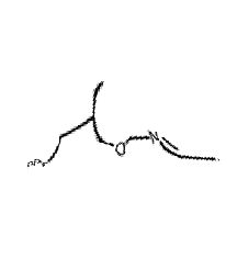 [CH2]C=NOC(C)CCCC